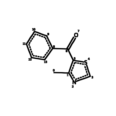 Cc1ncsc1C(=O)c1ccccc1